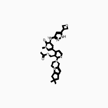 CC(=O)OCc1c(-c2cc(Nc3cc(C4COC4)[nH]n3)c(=O)n(C)c2)ccnc1N1CCn2c(cc3c2CC(C)(C)C3)C1